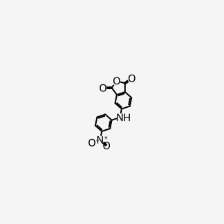 O=C1OC(=O)c2cc(Nc3cccc([N+](=O)[O-])c3)ccc21